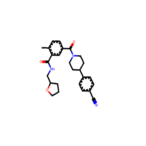 Cc1ccc(C(=O)N2CCC(c3ccc(C#N)cc3)CC2)cc1C(=O)NCC1CCCO1